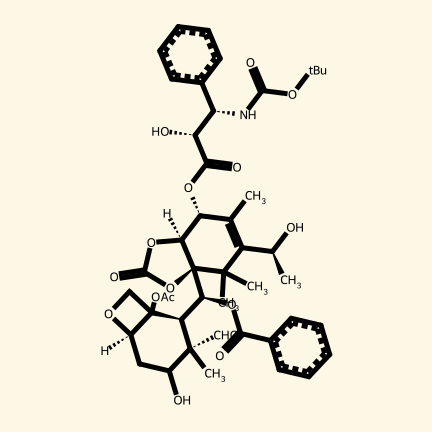 CC(=O)OC12CO[C@@H]1CC(O)[C@@](C)(C=O)[C@@H]2[C@H](OC(=O)c1ccccc1)[C@]12OC(=O)O[C@H]1[C@H](OC(=O)[C@H](O)[C@@H](NC(=O)OC(C)(C)C)c1ccccc1)C(C)=C([C@H](C)O)C2(C)C